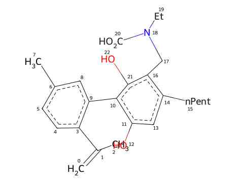 C=C(C)c1ccc(C)cc1-c1c(O)cc(CCCCC)c(CN(CC)C(=O)O)c1O